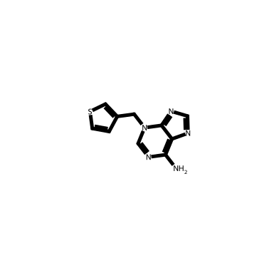 Nc1ncn(Cc2ccsc2)c2ncnc1-2